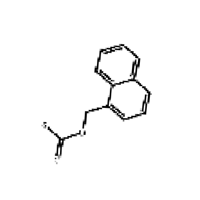 O=C([S])OCc1cccc2ccccc12